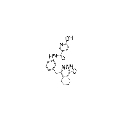 O=C(Nc1cccc(Cc2n[nH]c(=O)c3c2CCCC3)c1)c1ccc(O)nc1